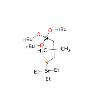 CCCCO[Si](CC(C)(C)CS[Si](CC)(CC)CC)(OCCCC)OCCCC